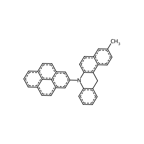 Cc1ccc2c3c(ccc2c1)N(c1cc2ccc4cccc5ccc(c1)c2c45)c1ccccc1C3